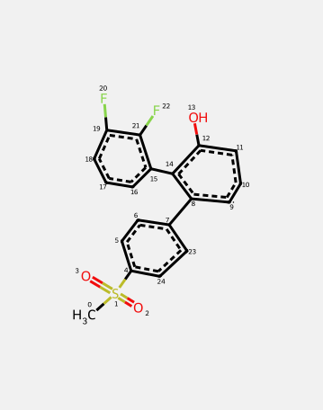 CS(=O)(=O)c1ccc(-c2[c]ccc(O)c2-c2cccc(F)c2F)cc1